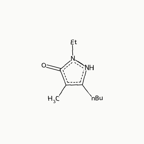 CCCCc1[nH]n(CC)c(=O)c1C